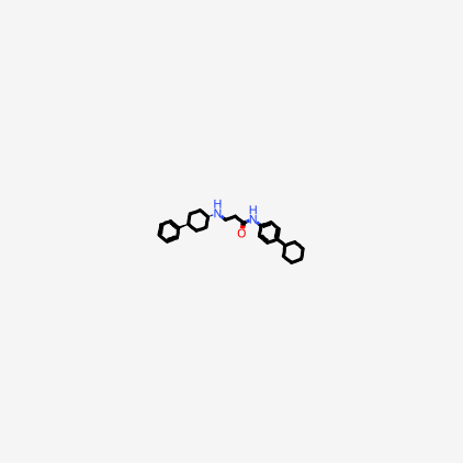 O=C(CCN[C@H]1CC[C@H](c2ccccc2)CC1)Nc1ccc(C2CCCCC2)cc1